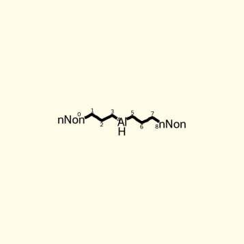 CCCCCCCCCCC[CH2][AlH][CH2]CCCCCCCCCCC